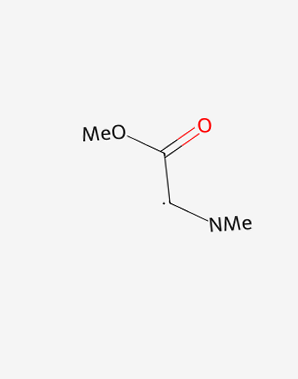 CN[CH]C(=O)OC